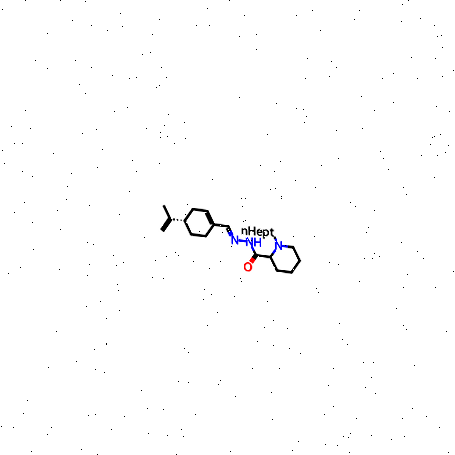 C=C(C)[C@@H]1CC=C(/C=N/NC(=O)C2CCCCN2CCCCCCC)CC1